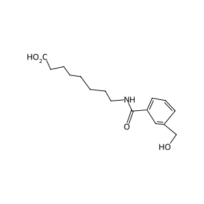 O=C(O)CCCCCCCNC(=O)c1cccc(CO)c1